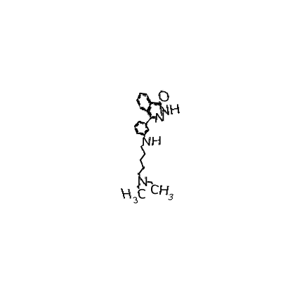 CCN(CC)CCCCCNc1cccc(-c2n[nH]c(=O)c3ccccc23)c1